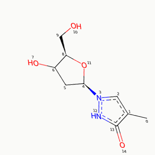 Cc1cn([C@H]2CC(O)[C@@H](CO)O2)[nH]c1=O